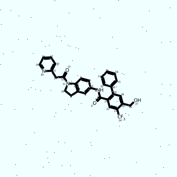 O=C(Nc1ccc2c(c1)CCN2C(=O)Cc1ccccn1)c1cc(C(F)(F)F)c(CO)cc1-c1ccccc1